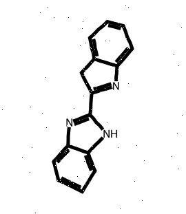 c1ccc2c(c1)CC(c1nc3ccccc3[nH]1)=N2